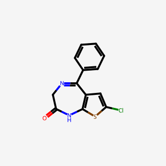 O=C1CN=C(c2ccccc2)c2cc(Cl)sc2N1